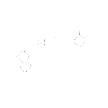 COc1ccc2ncc(Cl)c([C@@H](F)CCC3(C(=O)O)CCN(CCCc4cccc(F)c4F)CC3)c2c1